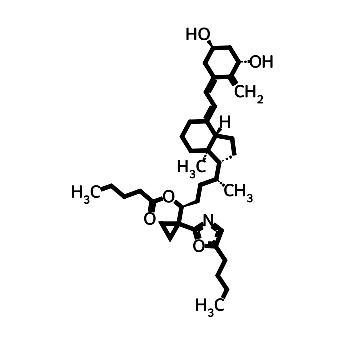 C=C1/C(=C\C=C2/CCC[C@]3(C)[C@@H]([C@H](C)CC[C@H](OC(=O)CCCC)C4(c5ncc(CCCC)o5)CC4)CC[C@@H]23)C[C@@H](O)C[C@@H]1O